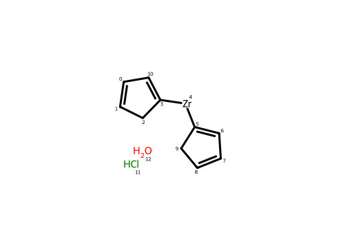 C1=CC[C]([Zr][C]2=CC=CC2)=C1.Cl.O